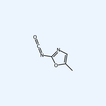 Cc1cnc(N=C=O)o1